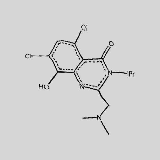 CC(C)n1c(CN(C)C)nc2c(O)c(Cl)cc(Cl)c2c1=O